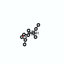 c1ccc(-c2ccc(C3=NC(n4c5ccccc5c5c6c7ccccc7n(-c7ccc(-c8ccccc8)cc7-c7ccccc7)c6ccc54)=NC(c4ccccc4)N3)cc2)cc1